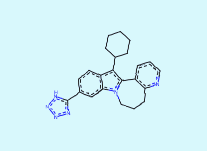 c1cnc2c(c1)-c1c(C3CCCCC3)c3ccc(-c4nnn[nH]4)cc3n1CCC2